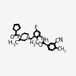 Cc1ccc(C(=O)Nc2cc(F)cc(CN3CCN(C(=O)C4CCCC4)C(C)C3)c2C)cc1C#N